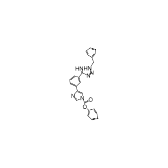 N=C(/N=N\NCc1ccccc1)c1cccc(-c2cn(C(=O)Oc3ccccc3)cn2)c1